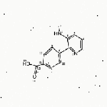 CNc1cccnc1-c1ccc(C(=O)O)nc1